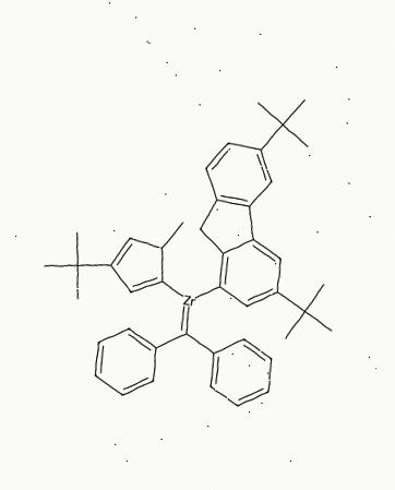 CC1C=C(C(C)(C)C)C=[C]1[Zr](=[C](c1ccccc1)c1ccccc1)[c]1cc(C(C)(C)C)cc2c1Cc1ccc(C(C)(C)C)cc1-2